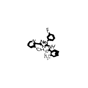 Cc1ccccc1C(=O)Nc1nc(-c2ncccc2C)nn1-c1cccc(F)c1